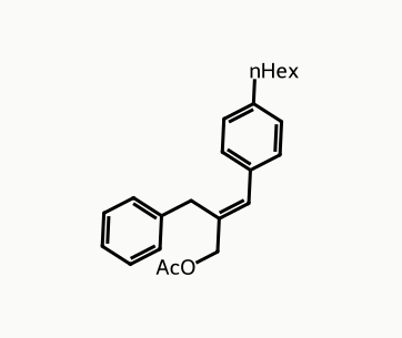 CCCCCCc1ccc(C=C(COC(C)=O)Cc2ccccc2)cc1